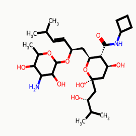 CC(C)/C=C/[C@@H](C[C@@H]1O[C@](O)(C[C@@H](O)C(C)C)C[C@H](O)[C@H]1C(=O)NC1CCC1)OC1OC(C)C(O)C(N)C1O